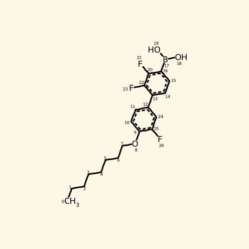 CCCCCCCCOc1ccc(-c2ccc(B(O)O)c(F)c2F)cc1F